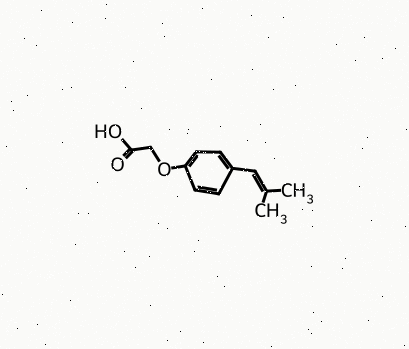 CC(C)=Cc1ccc(OCC(=O)O)cc1